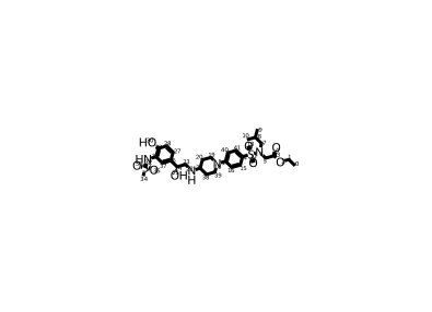 CCOC(=O)CN(CC(C)C)S(=O)(=O)c1ccc(N2CCC(NC[C@H](O)c3ccc(O)c(NS(C)(=O)=O)c3)CC2)cc1